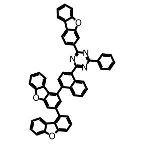 c1ccc(-c2nc(-c3ccc4c(c3)oc3ccccc34)nc(-c3ccc(-c4cc(-c5cccc6oc7ccccc7c56)cc5oc6ccccc6c45)c4ccccc34)n2)cc1